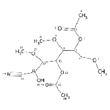 COCC(OC(C)=O)C(OC)C(OC(C)=O)C(OC)C(O)C#N